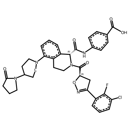 O=C(O)c1ccc(NC(=O)[C@H]2c3cccc(N4CCC(N5CCCC5=O)CC4)c3CCN2C(=O)[C@H]2CC(c3cccc(Cl)c3F)=NO2)cc1